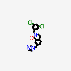 O=C1c2cc(Cn3ccnc3)ccc2CCN1Cc1cc(Cl)cc(Cl)c1